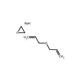 C1CO1.C=CCOCC=C.[NaH]